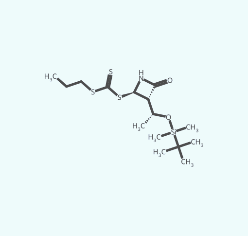 CCCSC(=S)S[C@H]1NC(=O)[C@@H]1[C@@H](C)O[Si](C)(C)C(C)(C)C